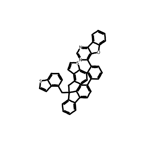 c1cc(-c2ccc3c(c2)C(Cc2cccc4sccc24)(Cc2cccc4sccc24)c2ccccc2-3)cc(-c2ncnc3c2oc2ccccc23)c1